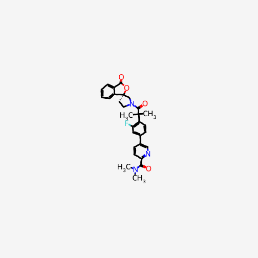 CN(C)C(=O)c1ccc(-c2ccc(C(C)(C)C(=O)N3CC[C@@]4(C3)OC(=O)c3ccccc34)c(F)c2)cn1